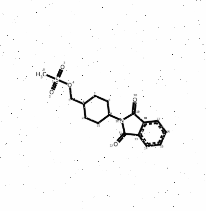 CS(=O)(=O)OCC1CCC(N2C(=O)c3ccccc3C2=O)CC1